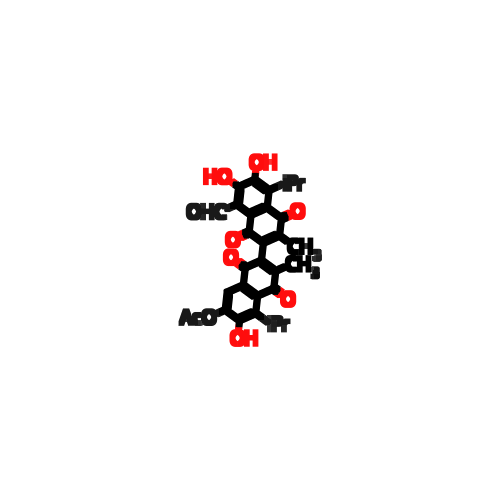 CC(=O)Oc1cc2c(c(C(C)C)c1O)C(=O)C(C)=C(C1=C(C)C(=O)c3c(c(C=O)c(O)c(O)c3C(C)C)C1=O)C2=O